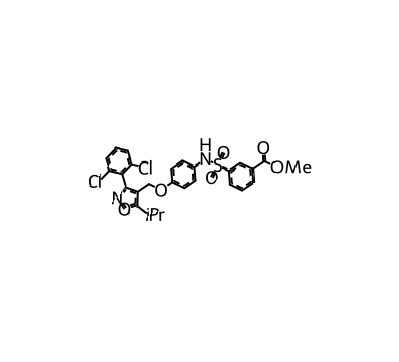 COC(=O)c1cccc(S(=O)(=O)Nc2ccc(OCc3c(-c4c(Cl)cccc4Cl)noc3C(C)C)cc2)c1